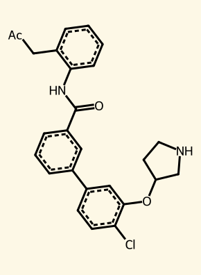 CC(=O)Cc1ccccc1NC(=O)c1cccc(-c2ccc(Cl)c(OC3CCNC3)c2)c1